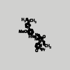 C=CCn1c(=O)c2cnc(Nc3ccc(N4CCC(N(C)C)C4)c(OC)c3)nc2n1-c1ccc(=O)n(C(C)C)n1